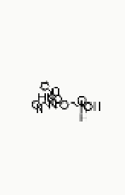 O=C(/C=C/c1ccc(CN(CCc2ccccn2)C(=O)NC(=O)c2ccccc2)cc1)NO